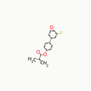 C=C(C)C(=O)Oc1ccc(-c2cc(F)c3c(c2)O3)cc1